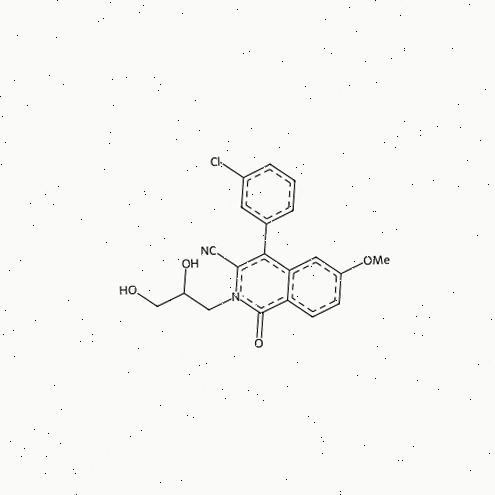 COc1ccc2c(=O)n(CC(O)CO)c(C#N)c(-c3cccc(Cl)c3)c2c1